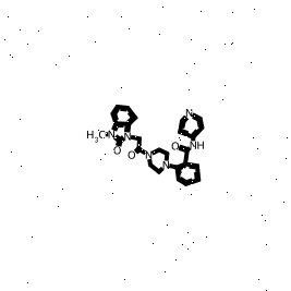 Cn1c(=O)n(CC(=O)N2CCN(c3ccccc3C(=O)Nc3ccncc3)CC2)c2ccccc21